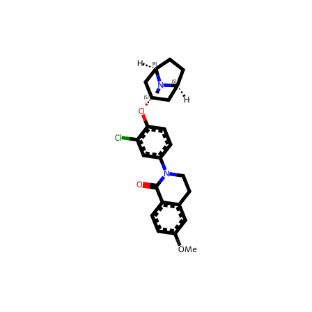 COc1ccc2c(c1)CCN(c1ccc(O[C@@H]3C[C@H]4CC[C@@H](C3)N4C)c(Cl)c1)C2=O